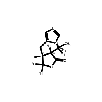 [2H]C1([2H])OC(=O)[C@@]([2H])(C([2H])([2H])C)[C@@]1([2H])Cc1cncn1C